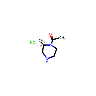 CC(=O)N1CCNC[C@H]1C.Cl